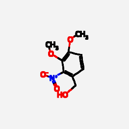 COc1ccc(CO)c([N+](=O)[O-])c1OC